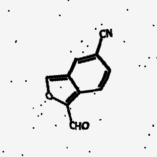 N#Cc1ccc2c(C=O)occ2c1